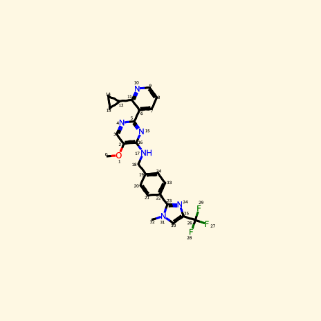 COc1cnc(-c2cccnc2C2CC2)nc1NCc1ccc(-c2nc(C(F)(F)F)cn2C)cc1